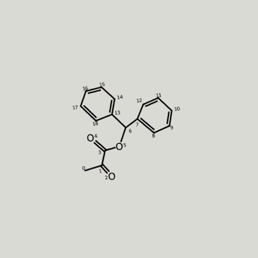 CC(=O)C(=O)OC(c1ccccc1)c1ccccc1